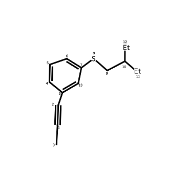 CC#Cc1cccc(SCC(CC)CC)c1